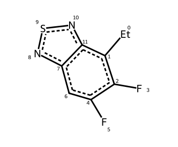 CCc1c(F)c(F)cc2nsnc12